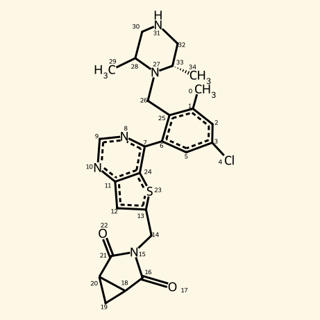 Cc1cc(Cl)cc(-c2ncnc3cc(CN4C(=O)C5CC5C4=O)sc23)c1CN1C(C)CNC[C@@H]1C